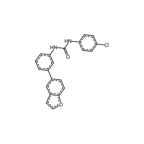 O=C(Nc1ccc(Cl)cc1)Nc1cccc(-c2ccc3occc3c2)c1